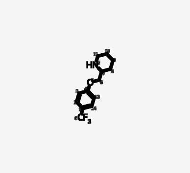 FC(F)(F)c1ccc(OCC2CCCCN2)cc1